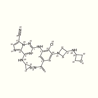 C=C(N)c1cc(Nc2nc(NC3CC3)c3ncc(C#N)n3n2)c(Cl)c(N2CC(NC3COC3)C2)c1